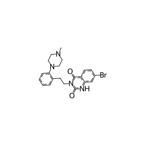 CN1CCN(c2ccccc2CCn2c(=O)[nH]c3cc(Br)ccc3c2=O)CC1